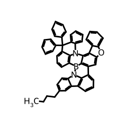 CCCCc1ccc2c(c1)c1cccc3c1n2B1c2cccc4c2N(c2ccccc2C4(c2ccccc2)c2ccccc2)c2c1c-3cc1oc3ccccc3c21